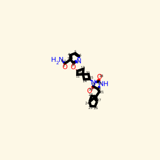 NC(=O)c1cccnc1O[C@H]1CC2(C1)C[C@H](N1C(=O)NC(CC3CC4CCC3C4)C1=O)C2